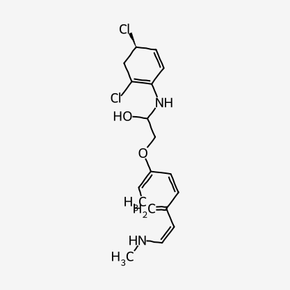 C=C(/C=C\NC)/C=C\C(=C/C)OCC(O)NC1=C(Cl)C[C@@H](Cl)C=C1